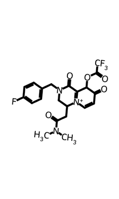 CN(C)C(=O)CC1CN(Cc2ccc(F)cc2)C(=O)C2=[N+]1C=CC(=O)C2OC(=O)C(F)(F)F